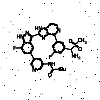 CC(C)(C)C(=O)Nc1cncc(-c2cc(F)c3[nH]nc(-c4nc5c(-c6cc(F)cc(C(N)S(C)(=O)=O)c6)nccc5[nH]4)c3c2)c1